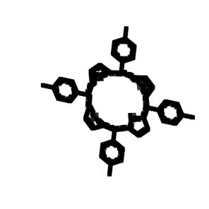 Cc1ccc(-c2c3nc(c(-c4ccc(C)cc4)c4ccc([nH]4)c(-c4ccc(C)cc4)c4ccc([nH]4)c(-c4ccc(C)cc4)c4nc2C=C4)C=C3)cc1